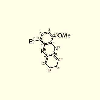 CCc1ccc(OC)c2nc3c(nc12)=CCCC=3